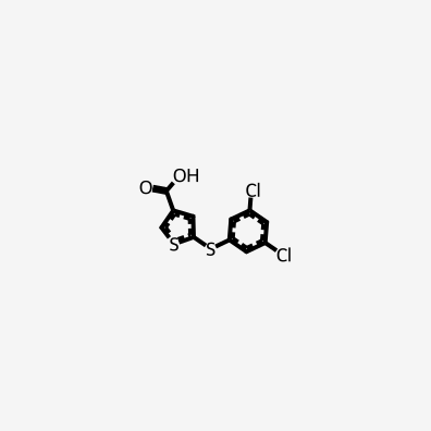 O=C(O)c1csc(Sc2cc(Cl)cc(Cl)c2)c1